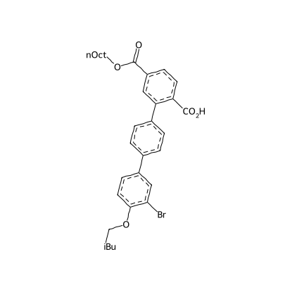 CCCCCCCCOC(=O)c1ccc(C(=O)O)c(-c2ccc(-c3ccc(OCC(C)CC)c(Br)c3)cc2)c1